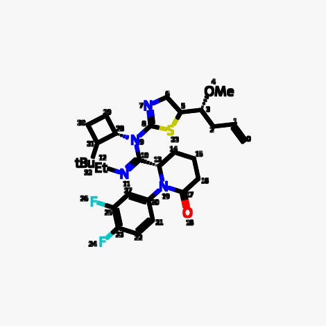 C=CC[C@@H](OC)C1CN=C(N(/C(=N\CC)[C@@H]2CCCC(=O)N2c2ccc(F)c(F)c2)[C@H]2CCC2C(C)(C)C)S1